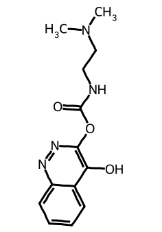 CN(C)CCNC(=O)Oc1nnc2ccccc2c1O